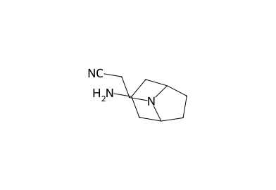 N#CCCN1C2CCC1CC(N)C2